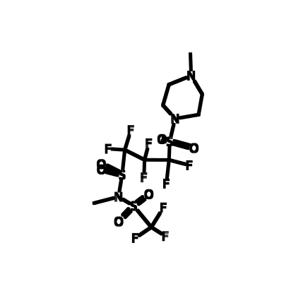 CN1CCN(S(=O)(=O)C(F)(F)C(F)(F)C(F)(F)S(=O)(=O)N(C)S(=O)(=O)C(F)(F)F)CC1